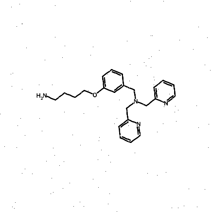 NCCCCOc1cccc(CN(Cc2ccccn2)Cc2ccccn2)c1